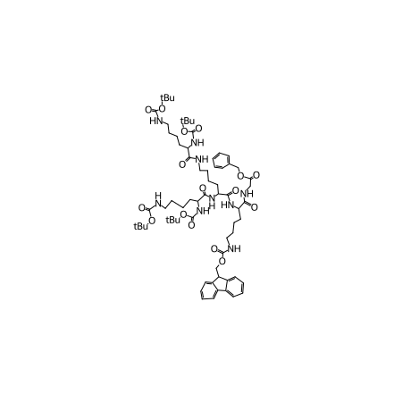 CC(C)(C)OC(=O)NCCCCC(NC(=O)OC(C)(C)C)C(=O)NCCCCC(NC(=O)C(CCCCNC(=O)OC(C)(C)C)NC(=O)OC(C)(C)C)C(=O)NC(CCCCNC(=O)OCC1c2ccccc2-c2ccccc21)C(=O)NCC(=O)OCc1ccccc1